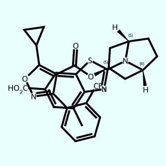 Cc1cc(C(=O)O)cc2sc(N3[C@@H]4CC[C@H]3C[C@H](OC(=O)c3c(-c5ccccc5C(F)(F)F)noc3C3CC3)C4)nc12